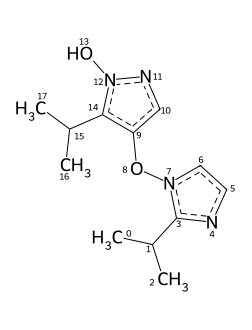 CC(C)c1nccn1Oc1cnn(O)c1C(C)C